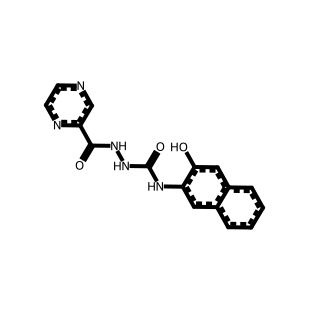 O=C(NNC(=O)c1cnccn1)Nc1cc2ccccc2cc1O